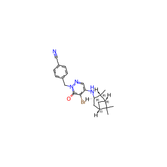 C[C@@H]1[C@H]2C[C@@H](C[C@H]1Nc1cnn(Cc3ccc(C#N)cc3)c(=O)c1Br)C2(C)C